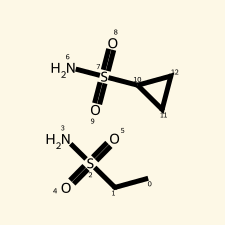 CCS(N)(=O)=O.NS(=O)(=O)C1CC1